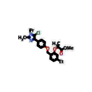 CCc1ccc(COc2ccc(-c3nc(C)n(C(C)C)c3Cl)cc2)c(OC(C)C(=O)OC)c1